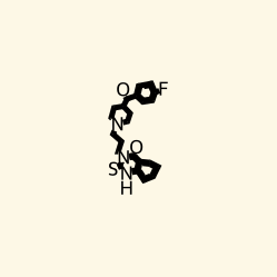 O=C(c1ccc(F)cc1)C1CCN(CCCn2c(=S)[nH]c3ccccc3c2=O)CC1